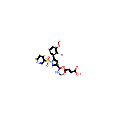 CNC(OC(=O)/C=C/C(=O)O)c1cc(-c2cccc(OC)c2F)n(S(=O)(=O)c2cccnc2)c1